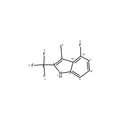 Cc1c(C(F)(F)F)[nH]c2cccc(F)c12